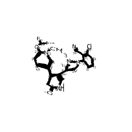 CN1CC(c2cc(=O)[nH]cc2-c2cnn(-c3cccc(Cl)c3C#N)c2)=CC=C1OC(F)F